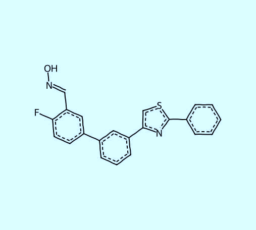 O/N=C/c1cc(-c2cccc(-c3csc(-c4ccccc4)n3)c2)ccc1F